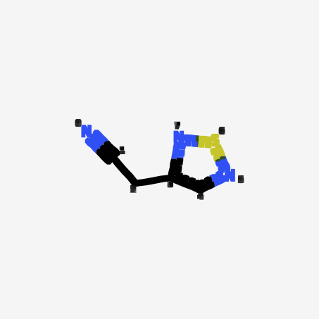 N#CCc1cnsn1